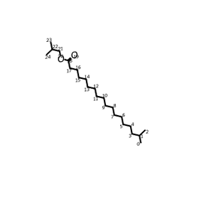 CC(C)CCCCCCCCCCCCCCCC(=O)OCC(C)C